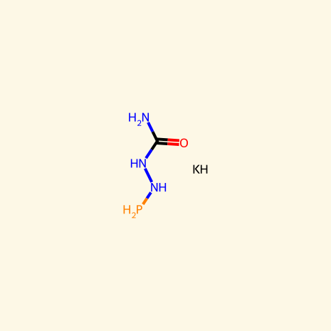 NC(=O)NNP.[KH]